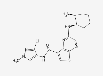 Cn1cc(NC(=O)c2csc3ncc(N[C@@H]4CCCC[C@@H]4N)nc23)c(Cl)n1